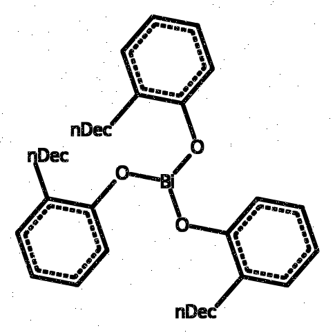 CCCCCCCCCCc1ccccc1[O][Bi]([O]c1ccccc1CCCCCCCCCC)[O]c1ccccc1CCCCCCCCCC